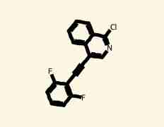 Fc1cccc(F)c1C#Cc1cnc(Cl)c2ccccc12